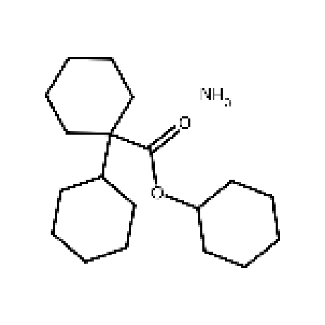 N.O=C(OC1CCCCC1)C1(C2CCCCC2)CCCCC1